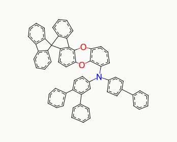 c1ccc(-c2ccc(N(c3ccc(-c4ccccc4)c(-c4ccccc4)c3)c3cccc4c3Oc3ccc5c(c3O4)-c3ccccc3C53c4ccccc4-c4ccccc43)cc2)cc1